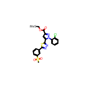 CSCOC(=O)c1cc(-c2nnc(-c3cccc(S(C)(=O)=O)c3)s2)n(-c2ccccc2Cl)n1